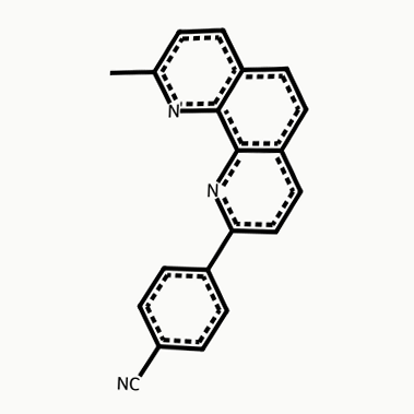 Cc1ccc2ccc3ccc(-c4ccc(C#N)cc4)nc3c2n1